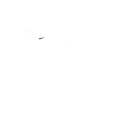 NC(=O)[C@H]1CCCN(C(=O)c2ccc(F)cc2)C1